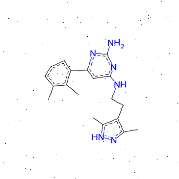 Cc1cccc(-c2cc(NCCc3c(C)n[nH]c3C)nc(N)n2)c1C